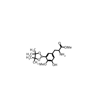 COC(=O)C(N)Cc1cc(O)c(OC)c(B2OC(C)(C)C(C)(C)O2)c1